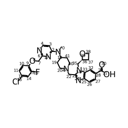 CN(c1ccnc(COc2ccc(Cl)cc2F)n1)C1CCN(Cc2nc3ccc(C(=O)O)cc3n2C[C@@H]2CCO2)CC1